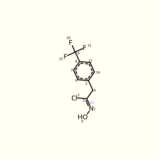 O/N=C(\Cl)Cc1ccc(C(F)(F)F)cc1